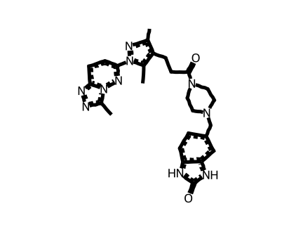 Cc1nn(-c2ccc3nnc(C)n3n2)c(C)c1CCC(=O)N1CCN(Cc2ccc3[nH]c(=O)[nH]c3c2)CC1